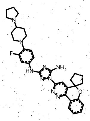 Nc1nc(Nc2ccc(N3CCC(N4CCCC4)CC3)c(F)c2)nn1-c1cc2c(nn1)-c1ccccc1OC21CCCC1